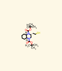 CC(C)(C)OC(=O)N1C[C@@H](CCS)N(C(=O)OC(C)(C)C)[C@H]2CCCC[C@@H]21